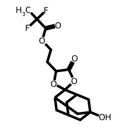 CC(F)(F)C(=O)OCCC1OC2(OC1=O)C1CC3CC2CC(O)(C3)C1